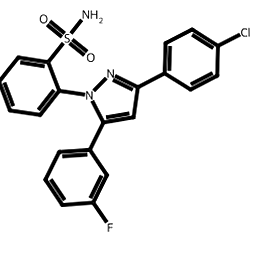 NS(=O)(=O)c1ccccc1-n1nc(-c2ccc(Cl)cc2)cc1-c1cccc(F)c1